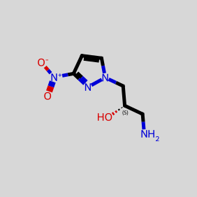 NC[C@H](O)Cn1ccc([N+](=O)[O-])n1